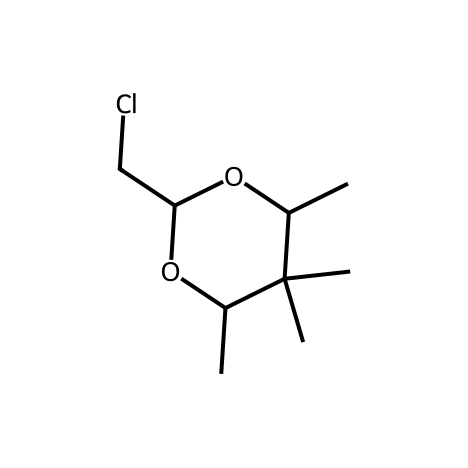 CC1OC(CCl)OC(C)C1(C)C